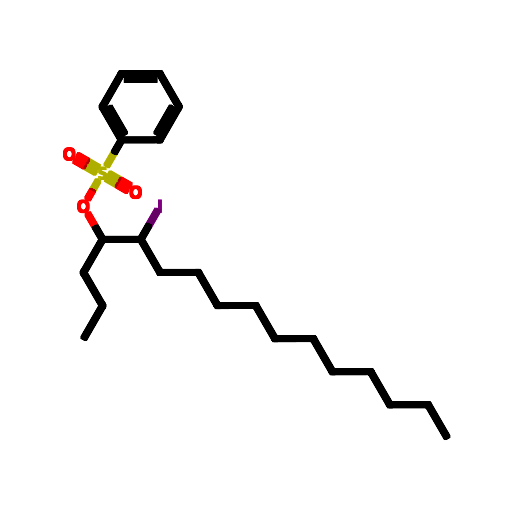 CCCCCCCCCCCC(I)C(CCC)OS(=O)(=O)c1ccccc1